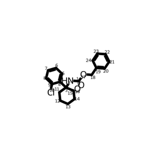 O=C(NC1(c2ccccc2Cl)CCCCC1=O)OCc1ccccc1